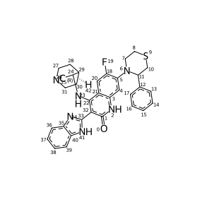 O=c1[nH]c2cc(N3CCSCC3c3ccccc3)c(F)cc2c(N[C@H]2CN3CCC2CC3)c1-c1nc2ccccc2[nH]1